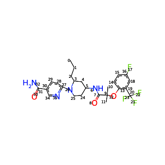 CCCC1CC(NC(=O)C(C)(C)Oc2ccc(F)cc2C(F)(F)F)CCN1c1ccc(C(N)=O)cn1